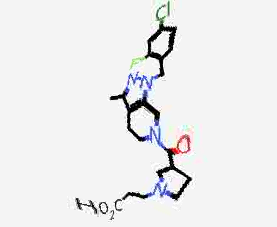 Cc1nn(Cc2ccc(Cl)cc2F)c2c1CCN(C(=O)C1CCN(CCC(=O)O)C1)C2